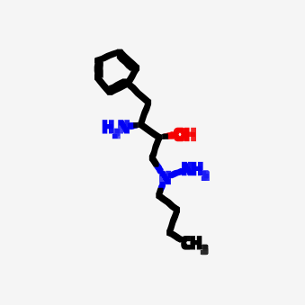 CCCCN(N)C[C@H](O)[C@@H](N)Cc1ccccc1